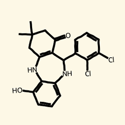 CC1(C)CC(=O)C2=C(C1)Nc1c(O)cccc1NC2c1cccc(Cl)c1Cl